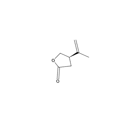 C=C(C)[C@@H]1COC(=O)C1